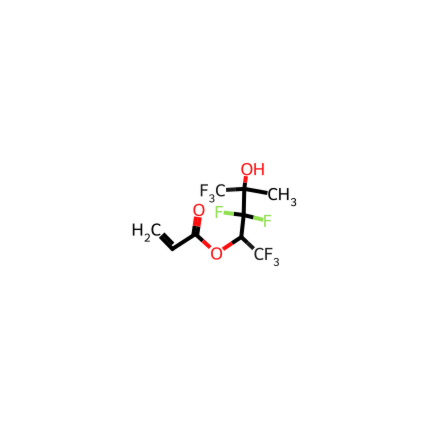 C=CC(=O)OC(C(F)(F)F)C(F)(F)C(C)(O)C(F)(F)F